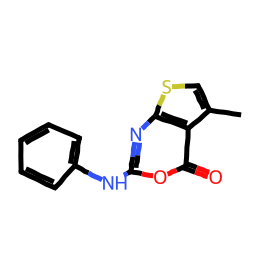 Cc1csc2nc(Nc3ccccc3)oc(=O)c12